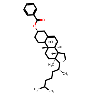 CC(C)CCC[C@@H](C)[C@H]1CC[C@H]2[C@@H]3CC=C4C[C@@H](OC(=O)c5ccccc5)CC[C@]4(C)[C@H]3CC[C@]12C